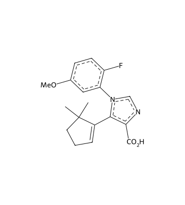 COc1ccc(F)c(-n2cnc(C(=O)O)c2C2=CCCC2(C)C)c1